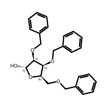 O[C@H]1O[C@H](COCc2ccccc2)[C@H](OCc2ccccc2)[C@@H]1OCc1ccccc1